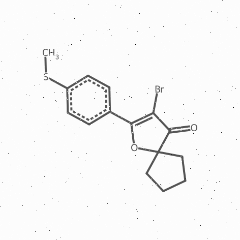 CSc1ccc(C2=C(Br)C(=O)C3(CCCC3)O2)cc1